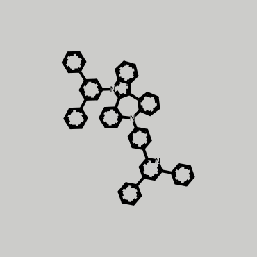 c1ccc(-c2cc(-c3ccccc3)cc(-n3c4c(c5ccccc53)-c3ccccc3N(c3ccc(-c5cc(-c6ccccc6)cc(-c6ccccc6)n5)cc3)c3ccccc3-4)c2)cc1